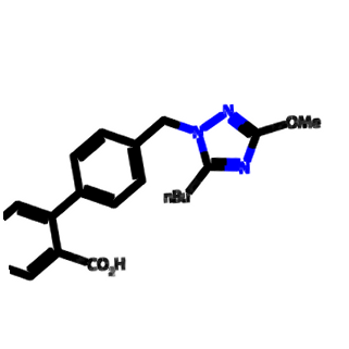 CCCCc1nc(OC)nn1Cc1ccc(-c2ccccc2C(=O)O)cc1